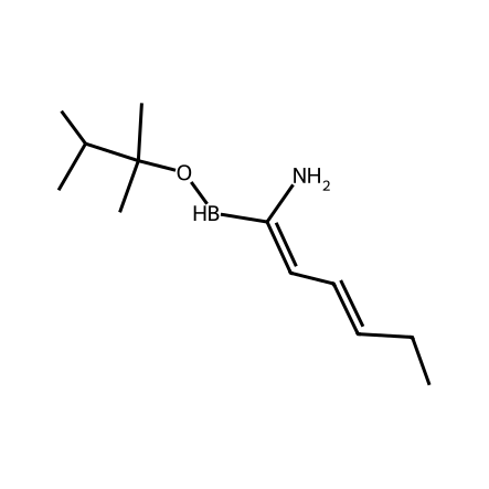 CC/C=C/C=C(\N)BOC(C)(C)C(C)C